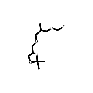 CC(COCF)COCC1COC(C)(C)O1